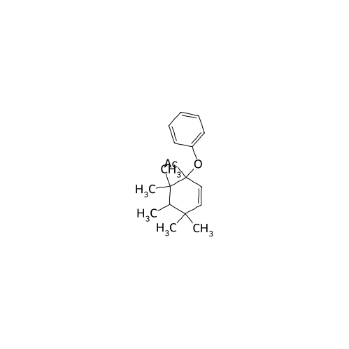 CC(=O)C1(Oc2ccccc2)C=CC(C)(C)C(C)C1(C)C